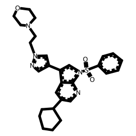 O=S(=O)(c1ccccc1)n1cc(-c2cnn(CCN3CCOCC3)c2)c2cc(C3CCCCC3)cnc21